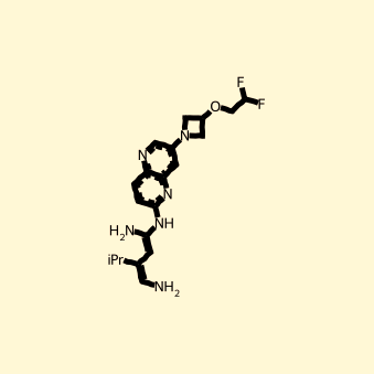 CC(C)C(=C/N)/C=C(\N)Nc1ccc2ncc(N3CC(OCC(F)F)C3)cc2n1